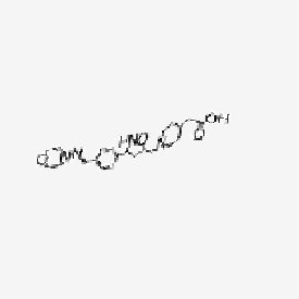 O=C(O)CC1CCN(CC2CC(c3ccc(C=NN4CCOCC4)cc3)NO2)CC1